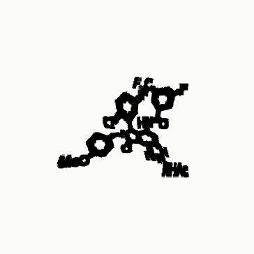 COc1ccc(CN2C(=O)c3c(c(NC(=O)c4cc(F)cc(C(F)(F)F)c4)cc4nn(NC(C)=O)nc34)C2c2cc(F)ccc2Cl)cc1